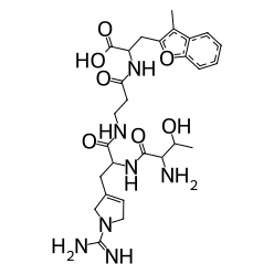 Cc1c(CC(NC(=O)CCNC(=O)C(CC2=CCN(C(=N)N)C2)NC(=O)C(N)C(C)O)C(=O)O)oc2ccccc12